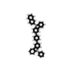 C1=Cc2c(n(-c3ccccc3)c3ccc(-c4ccc(-c5ccc6c(c5)c5ccccc5n6-c5ccc6ccccc6c5)cc4)cc23)CC1